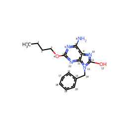 CCCCOc1nc(N)c2nc(O)n(Cc3ccccc3)c2n1